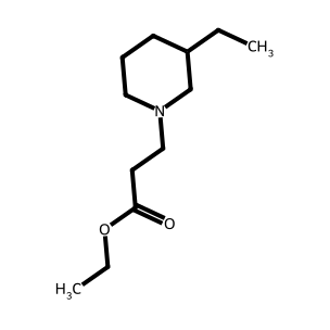 CCOC(=O)CCN1CCCC(CC)C1